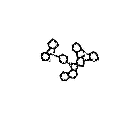 c1ccc2c(c1)ccc1c3cc4c5ccccc5n5c6ccccc6c(c3n(-c3ccc(-n6c7ccccc7c7cccnc76)cc3)c21)c45